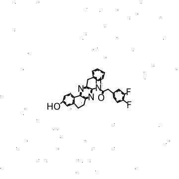 O=C(Cc1ccc(F)c(F)c1)Nc1nc2c(nc1Cc1ccccc1)-c1ccc(O)cc1CC2